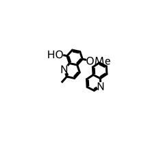 COc1ccc(O)c2nc(C)ccc12.c1ccc2ncccc2c1